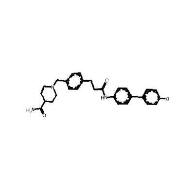 NC(=O)C1CCN(Cc2ccc(CCC(=O)Nc3ccc(-c4ccc(Cl)cc4)cc3)cc2)CC1